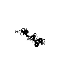 CC(C)n1cc(-c2nc3c(=O)cc(OCCc4cccc(C(C)(C)O)n4)[nH]c3nc2-c2ccccc2)ccc1=O